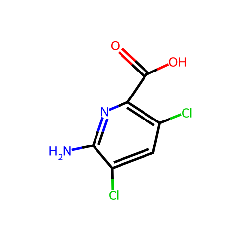 Nc1nc(C(=O)O)c(Cl)cc1Cl